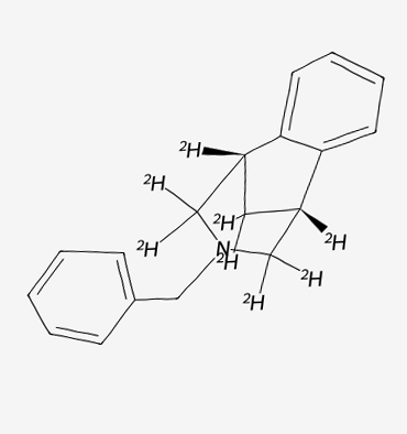 [2H]C1([2H])N(Cc2ccccc2)C([2H])([2H])[C@@]2([2H])c3ccccc3[C@]1([2H])C2([2H])[2H]